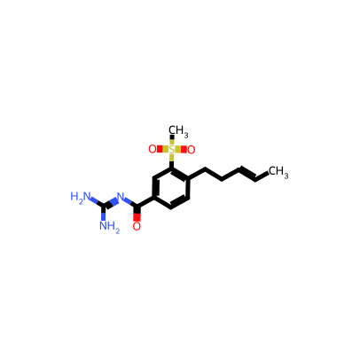 CC=CCCc1ccc(C(=O)N=C(N)N)cc1S(C)(=O)=O